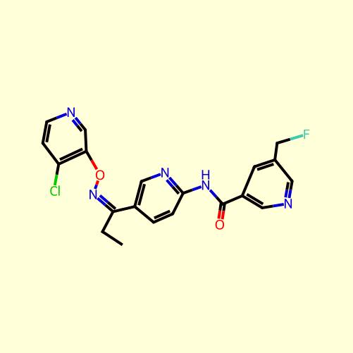 CC/C(=N/Oc1cnccc1Cl)c1ccc(NC(=O)c2cncc(CF)c2)nc1